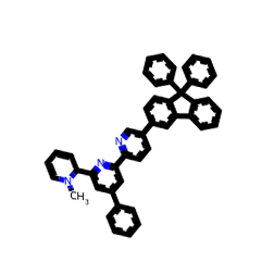 CN1C=CC=CC1c1cc(-c2ccccc2)cc(-c2ccc(-c3ccc4c(c3)-c3ccccc3C4(c3ccccc3)c3ccccc3)cn2)n1